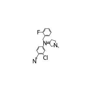 CN1CC[C@H](N(Cc2ccccc2F)c2ccc(C#N)c(Cl)c2)C1